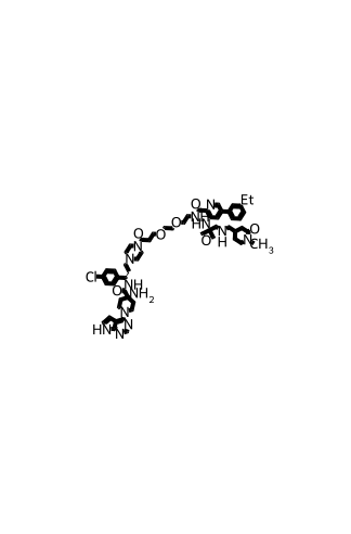 CCc1cccc(-c2cnc(C(=O)NCCOCCOCCC(=O)N3CCN(CC[C@H](NC(=O)C4(N)CCN(c5ncnc6[nH]ccc56)CC4)c4ccc(Cl)cc4)CC3)c(NC3(CNCC4CCN(C)C(=O)C4)COC3)c2)c1